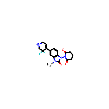 Cn1c(=O)n(N2C(=O)CCCC2=O)c2ccc(C3=CCNCC3(F)F)cc21